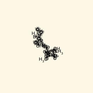 COC(=O)C[N+]12CC[N+](I)(CC(=O)OI)CCN(CC(O)OC)CC[N+]3(CC1)C(CCC(=O)N1CCN(CCCOc4cc(OCc5cccc(-c6ccccc6)c5C)c(Br)cc4CN4CCCC[C@H]4C(=O)O)CC1)C(=O)ON23